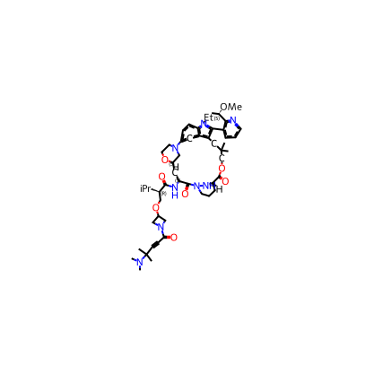 CCn1c(-c2cccnc2[C@H](C)OC)c2c3cc(ccc31)N1CCO[C@@H](C[C@H](NC(=O)[C@@H](COC3CN(C(=O)C#CC(C)(C)N(C)C)C3)C(C)C)C(=O)N3CCC[C@H](N3)C(=O)OCC(C)(C)C2)C1